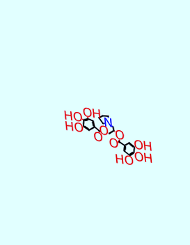 O=C(OCC(CN1CCCC1)OC(=O)c1cc(O)c(O)c(O)c1)c1cc(O)c(O)c(O)c1